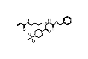 C=CC(=O)NCCCC[C@H](NC(=O)OCc1ccccc1)C(=O)N1CCN(S(C)(=O)=O)CC1